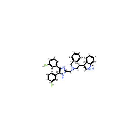 Fc1cccc(-c2nc(CN(CCc3c[nH]c4ccccc34)Cc3ccccc3)[nH]c2-c2cccc(F)c2)c1